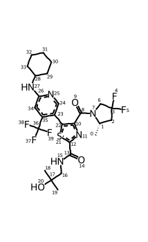 C[C@H]1CC(F)(F)CN1C(=O)c1nc(C(=O)NCC(C)(C)O)sc1-c1cnc(NC2CCCCC2)cc1C(F)(F)F